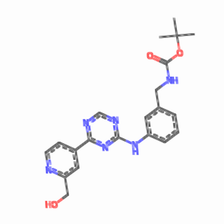 CC(C)(C)OC(=O)NCc1cccc(Nc2ncnc(-c3ccnc(CO)c3)n2)c1